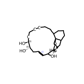 C=C1CC2CCCC3CCCCCC[C@H](O)[C@@H](O)C/C=C/C(O)C(=O)OC32C1